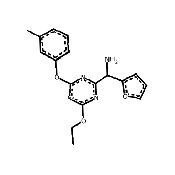 CCOc1nc(Oc2cccc(C)c2)nc(C(N)c2ccco2)n1